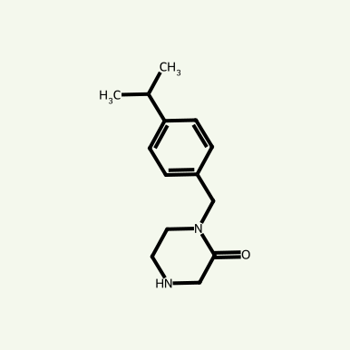 CC(C)c1ccc(CN2CCNCC2=O)cc1